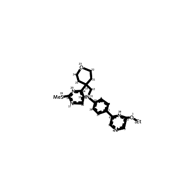 CCOc1cncc(-c2ccc(NCC3(c4ccnc(SC)n4)CCOCC3)cc2)n1